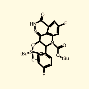 CC(C)(C)OC(=O)N1c2cc(F)cc3c(=O)[nH]nc(c23)C(O[Si](C)(C)C(C)(C)C)C1c1ccc(F)cc1